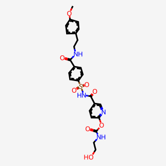 COc1ccc(CCNC(=O)c2ccc(S(=O)(=O)NC(=O)c3ccc(OC(=O)NCCO)nc3)cc2)cc1